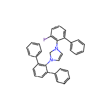 Ic1cccc(-c2ccccc2)c1N1C=CN(c2c(-c3ccccc3)cccc2-c2ccccc2)C1